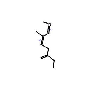 C=C(CC)C/C=C(C)\C=N/C